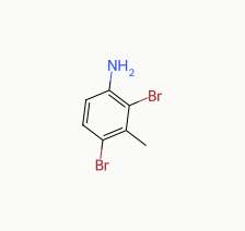 Cc1c(Br)ccc(N)c1Br